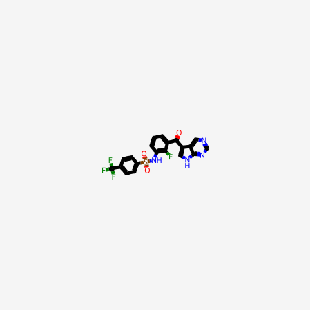 O=C(c1cccc(NS(=O)(=O)c2ccc(C(F)(F)F)cc2)c1F)c1c[nH]c2ncncc12